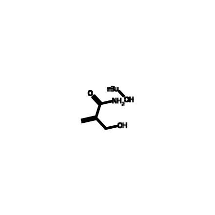 C=C(CO)C(N)=O.CCCCO